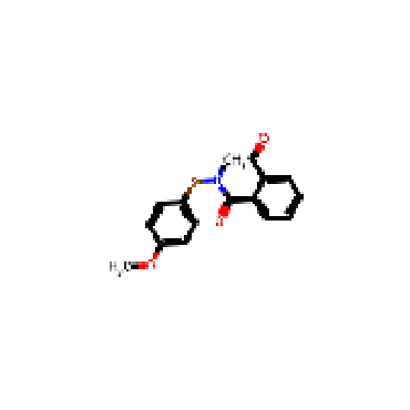 COc1ccc(SN(C)C(=O)c2ccccc2C=O)cc1